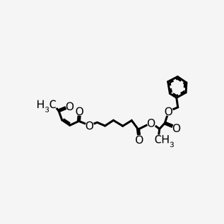 CC(=O)/C=C\C(=O)OCCCCCC(=O)OC(C)C(=O)OCc1ccccc1